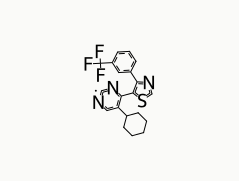 FC(F)(F)c1cccc(-c2ncsc2-c2n[c]ncc2C2CCCCC2)c1